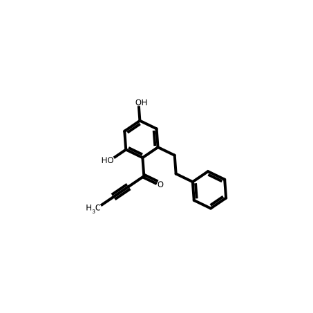 CC#CC(=O)c1c(O)cc(O)cc1CCc1ccccc1